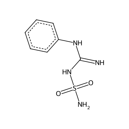 N=C(Nc1ccccc1)NS(N)(=O)=O